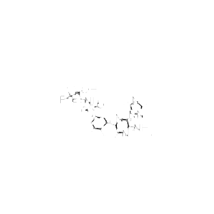 Cc1ccc(S(=O)(=O)NC[C@@](C)(O)C(F)(F)F)cc1-c1cnc(N)c(-n2cncn2)n1